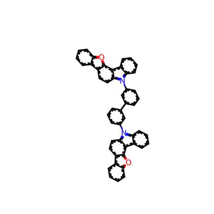 c1cc(-c2cccc(-n3c4ccccc4c4c5oc6ccccc6c5ccc43)c2)cc(-n2c3ccccc3c3c4oc5ccccc5c4ccc32)c1